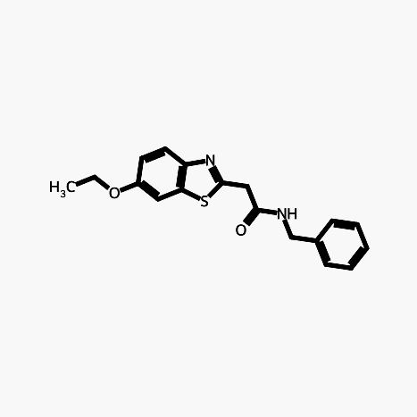 CCOc1ccc2nc(CC(=O)NCc3ccccc3)sc2c1